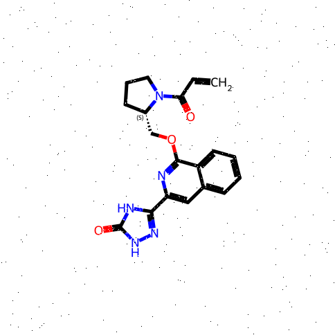 C=CC(=O)N1CCC[C@H]1COc1nc(-c2n[nH]c(=O)[nH]2)cc2ccccc12